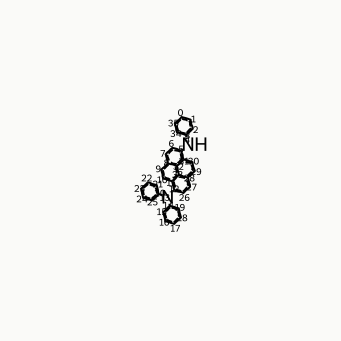 c1ccc(Nc2ccc3ccc4c(N(c5ccccc5)c5ccccc5)ccc5ccc2c3c54)cc1